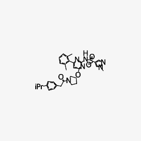 Cc1cccc(C)c1-c1cc(OC2CCN(C(=O)Cc3ccc(C(C)C)cc3)C2)nc(NS(=O)(=O)c2cnn(C)c2)n1